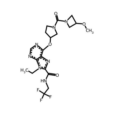 CCn1c(C(=O)NCC(F)(F)F)nc2c(OC3CCN(C(=O)N4CC(OC)C4)C3)ncnc21